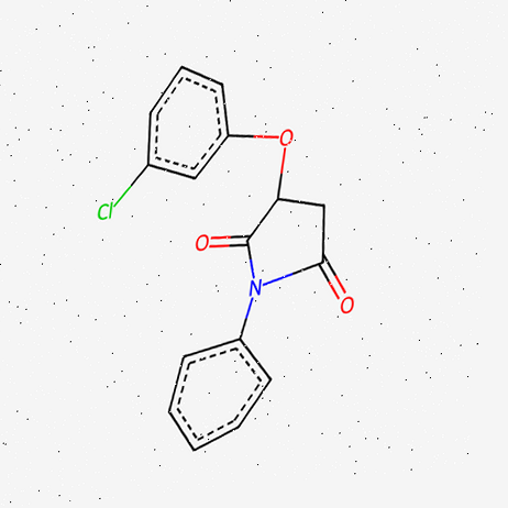 O=C1CC(Oc2cccc(Cl)c2)C(=O)N1c1ccccc1